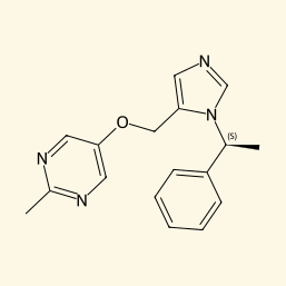 Cc1ncc(OCc2cncn2[C@@H](C)c2ccccc2)cn1